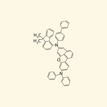 CC1(C)c2ccccc2-c2c(N(c3ccc(-c4ccccc4)cc3)c3cc4c5c(cccc5c3)-c3ccc(N(c5ccccc5)c5ccccc5)cc3O4)cccc21